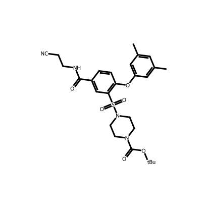 Cc1cc(C)cc(Oc2ccc(C(=O)NCCC#N)cc2S(=O)(=O)N2CCN(C(=O)OC(C)(C)C)CC2)c1